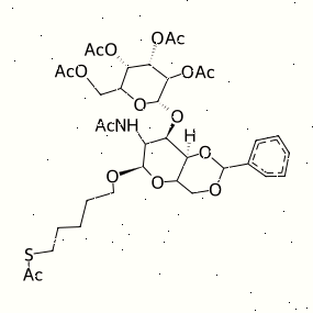 CC(=O)NC1[C@H](OCCCCCSC(C)=O)OC2COC(c3ccccc3)O[C@@H]2[C@@H]1O[C@@H]1OC(COC(C)=O)[C@H](OC(C)=O)[C@H](OC(C)=O)C1OC(C)=O